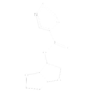 O=C(OC1COC2CCOC21)c1cccnc1